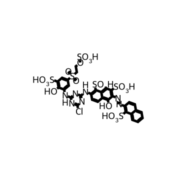 O=S(=O)(O)OCCS(=O)(=O)c1cc(Nc2nc(Cl)nc(Nc3ccc4c(O)c(/N=N/c5ccc6ccccc6c5S(=O)(=O)O)c(S(=O)(=O)O)cc4c3S(=O)(=O)O)n2)c(O)c(S(=O)(=O)O)c1